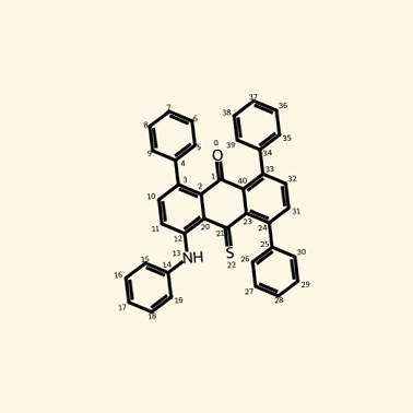 O=C1c2c(-c3ccccc3)ccc(Nc3ccccc3)c2C(=S)c2c(-c3ccccc3)ccc(-c3ccccc3)c21